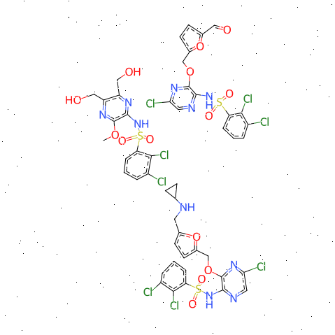 COc1nc(CO)c(CO)nc1NS(=O)(=O)c1cccc(Cl)c1Cl.O=Cc1ccc(COc2nc(Cl)cnc2NS(=O)(=O)c2cccc(Cl)c2Cl)o1.O=S(=O)(Nc1ncc(Cl)nc1OCc1ccc(CNC2CC2)o1)c1cccc(Cl)c1Cl